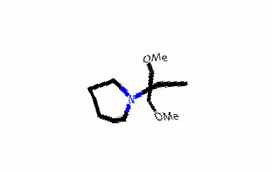 COC(C)(OC)N1CCCC1